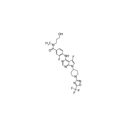 CN(CCCO)C(=O)c1ccc(Nc2ncnc3c2c(F)cn3C2CCN(c3noc(C(F)(F)F)n3)CC2)c(F)c1